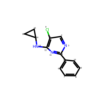 Clc1cnc(-c2ccccc2)nc1NC1CC1